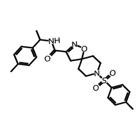 Cc1ccc(C(C)NC(=O)C2=NOC3(CCN(S(=O)(=O)c4ccc(C)cc4)CC3)C2)cc1